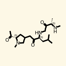 CN[C@@H](C)C(=O)CN[C@@H](CC(C)C)C(=O)CC1C[C@@H](C(C)=O)N(C)C1